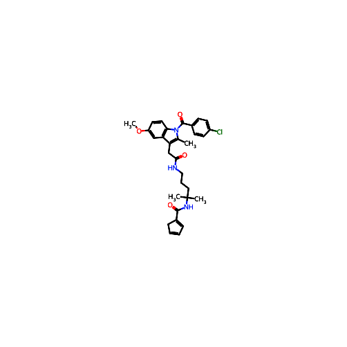 COc1ccc2c(c1)c(CC(=O)NCCCC(C)(C)NC(=O)C1=CC=CC1)c(C)n2C(=O)c1ccc(Cl)cc1